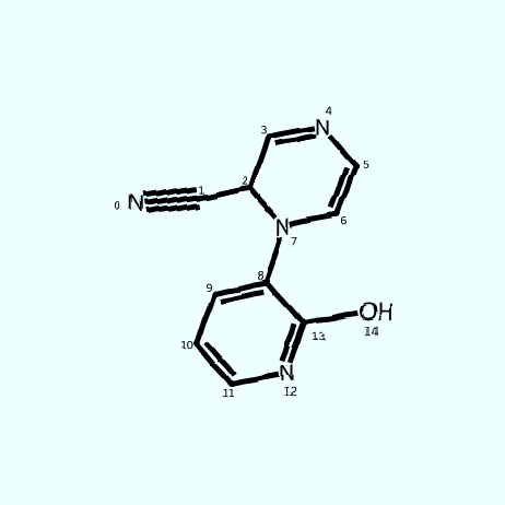 N#CC1C=NC=CN1c1cccnc1O